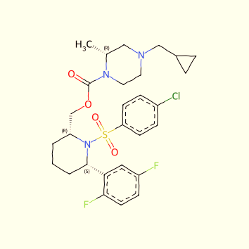 C[C@@H]1CN(CC2CC2)CCN1C(=O)OC[C@H]1CCC[C@@H](c2cc(F)ccc2F)N1S(=O)(=O)c1ccc(Cl)cc1